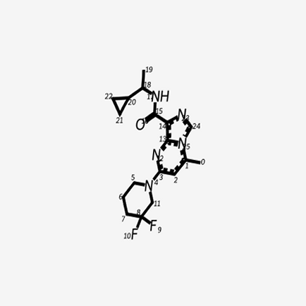 Cc1cc(N2CCCC(F)(F)C2)nc2c(C(=O)NC(C)C3CC3)ncn12